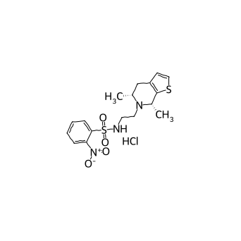 C[C@@H]1Cc2ccsc2[C@H](C)N1CCNS(=O)(=O)c1ccccc1[N+](=O)[O-].Cl